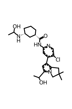 CC(O)N[C@@H]1CCC[C@H](C(=O)Nc2cc(-c3cc(C(C)O)n4c3CC(C)(C)C4)c(Cl)cn2)C1